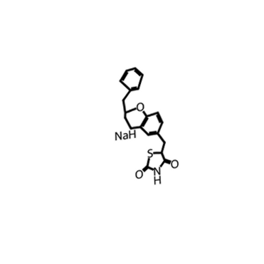 O=C1NC(=O)C(Cc2ccc3c(c2)CCC(Cc2ccccc2)O3)S1.[NaH]